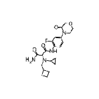 NC(=O)[C@H](C(=O)Nc1ccc(N2CCOCC2=O)cc1F)N(CC1CCC1)C1CC1